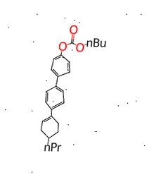 CCCCOC(=O)Oc1ccc(-c2ccc(C3=CCC(CCC)CC3)cc2)cc1